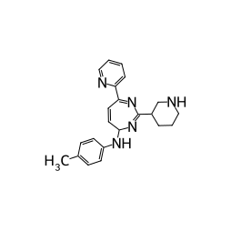 Cc1ccc(NC2C=CC(c3ccccn3)=NC(C3CCCNC3)=N2)cc1